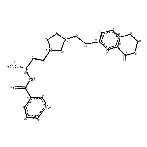 O=C(N[C@@H](CCN1CC[C@@H](CCc2ccc3c(n2)NCCC3)C1)C(=O)O)c1cccnc1